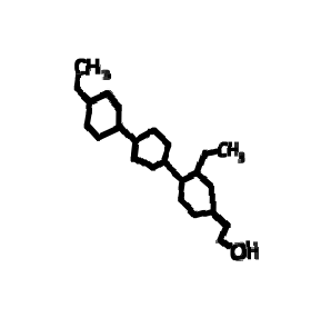 CCC1CCC(C2CCC(C3CCC(CCO)CC3CC)CC2)CC1